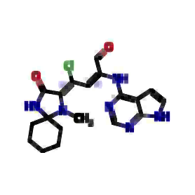 CN1/C(=C(Cl)\C=C(/C=O)Nc2ncnc3[nH]ccc23)C(=O)NC12CCCCC2